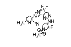 Cc1ccc(-n2cnc(-c3nc(N[C@H]4CCN(S(C)(=O)=O)C[C@H]4F)ncc3C(F)(F)F)c2)c(C#N)n1